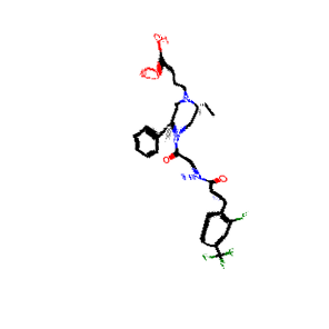 CC[C@@H]1CN(C(=O)CNC(=O)/C=C/c2ccc(C(F)(F)F)cc2F)[C@@H](c2ccccc2)CN1CCCC(=O)O